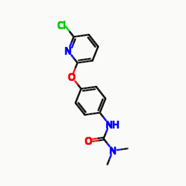 CN(C)C(=O)Nc1ccc(Oc2cccc(Cl)n2)cc1